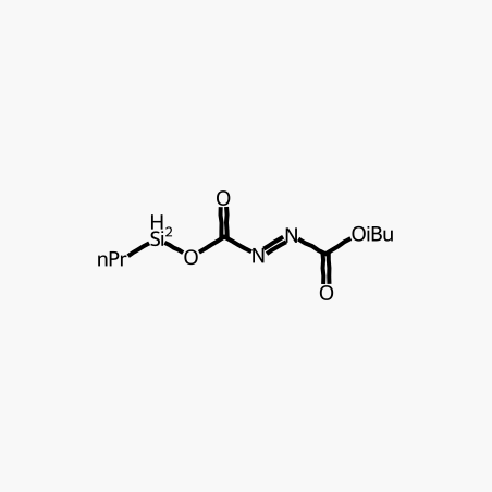 CCC[SiH2]OC(=O)N=NC(=O)OCC(C)C